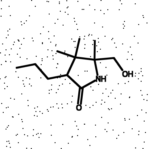 CCCC1C(=O)NC(C)(CO)C1(C)C